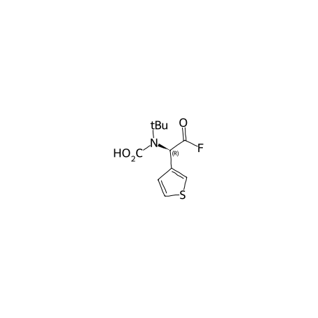 CC(C)(C)N(C(=O)O)[C@@H](C(=O)F)c1ccsc1